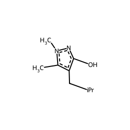 Cc1c(CC(C)C)c(O)nn1C